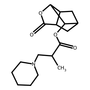 CC(CN1CCCCC1)C(=O)OC1C2CC3C(=O)OC1C3C2